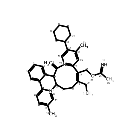 C=C1C2c3ccccc3-c3ccc(C)c[n+]3C2CC/C(CC)=C(/COC(C)=N)c2cc(C)c(C3CCCCC3)c[n+]21